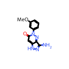 COc1cccc(-n2nc3c(N)n[nH]c3cc2=O)c1